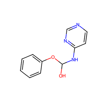 OC(Nc1ccncn1)Oc1ccccc1